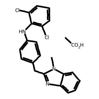 CC(=O)O.Cn1c(Cc2ccc(Nc3c(Cl)cccc3Cl)cc2)nc2ccccc21